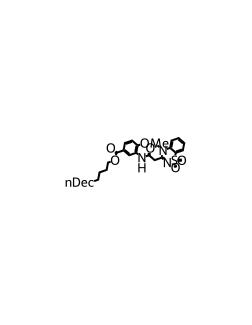 CCCCCCCCCCCCCCOC(=O)c1ccc(OC)c(NC(=O)CC2=NS(=O)(=O)c3ccccc3N2C)c1